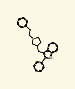 c1ccc(CCN2CCC(Cc3c(-c4ccccc4)[nH]c4ccccc34)C2)cc1